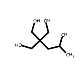 CC(C)CC(CO)(CO)CO